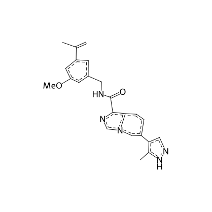 C=C(C)c1cc(CNC(=O)c2ncn3cc(-c4cn[nH]c4C)ccc23)cc(OC)c1